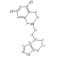 Clc1cc(Cl)c2c(c1)CN(CCC1CCCc3sccc31)CC2